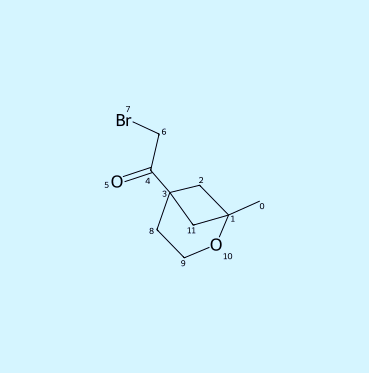 CC12CC(C(=O)CBr)(CCO1)C2